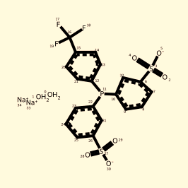 O.O.O=S(=O)([O-])c1cccc(P(c2ccc(C(F)(F)F)cc2)c2cccc(S(=O)(=O)[O-])c2)c1.[Na+].[Na+]